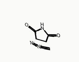 C=[N+]=[N-].O=C1CCC(=O)N1